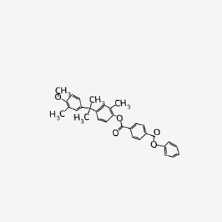 COc1ccc(C(C)(C)c2ccc(OC(=O)c3ccc(C(=O)Oc4ccccc4)cc3)c(C)c2)cc1C